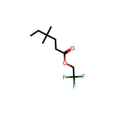 CCC(C)(C)CCC(=O)OCC(F)(F)F